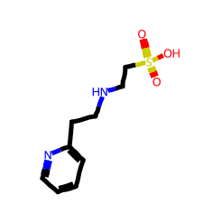 O=S(=O)(O)CCNCCc1ccccn1